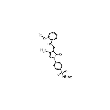 CCOc1ccccc1NC=C1C(=O)N(c2ccc(S(=O)(=O)NC(C)=O)cc2)N=C1C